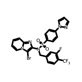 O=S(=O)(c1ccc(-n2cccn2)cc1)N(Cc1ccc(C(F)(F)F)c(F)c1)c1nc2ccccn2c1Br